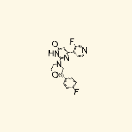 O=c1cc(-c2ccncc2F)nc(N2CCO[C@@H](c3ccc(F)cc3)C2)[nH]1